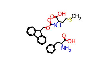 CSCCC(NC(=O)OCC1c2ccccc2-c2ccccc21)C(=O)O.NC(Cc1ccccc1)C(=O)O